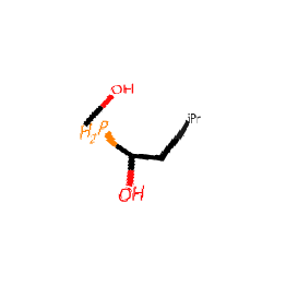 CC(C)CC(O)P.CO